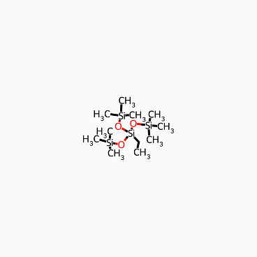 CC[Si](O[Si](C)(C)C)(O[Si](C)(C)C)O[Si](C)(C)C